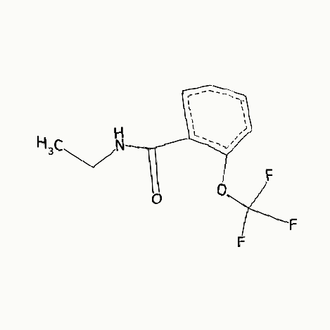 CCNC(=O)c1ccccc1OC(F)(F)F